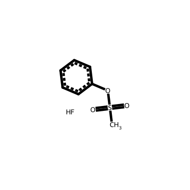 CS(=O)(=O)Oc1ccccc1.F